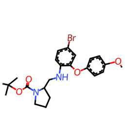 COc1ccc(Oc2cc(Br)ccc2NCC2CCCN2C(=O)OC(C)(C)C)cc1